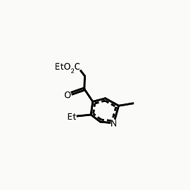 CCOC(=O)CC(=O)c1cc(C)ncc1CC